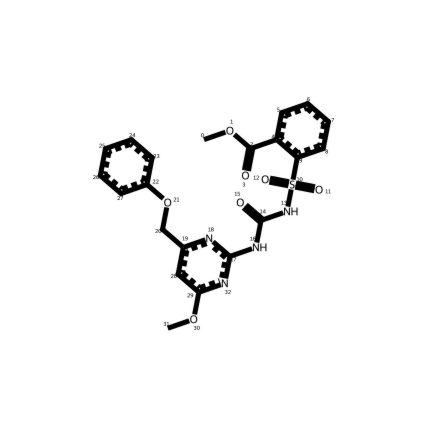 COC(=O)c1ccccc1S(=O)(=O)NC(=O)Nc1nc(COc2ccccc2)cc(OC)n1